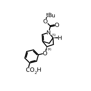 CC(C)(C)OC(=O)N1C=C2C[C@H]1C[C@H]2Oc1cccc(C(=O)O)c1